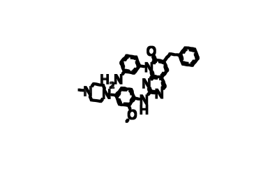 COc1cc(N2CCN(C)CC2)ccc1Nc1ncc2cc(Cc3ccccc3)c(=O)n(-c3cccc(N)c3)c2n1